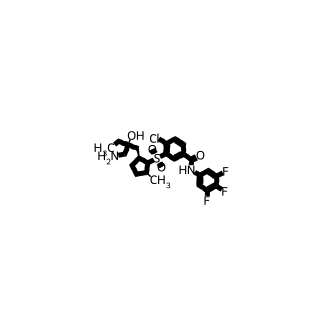 CC[C@](O)(CN)C[C@@H]1CC[C@@H](C)C1S(=O)(=O)c1cc(C(=O)Nc2cc(F)c(F)c(F)c2)ccc1Cl